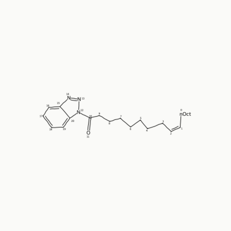 CCCCCCCC/C=C\CCCCCCCC(=O)n1nnc2ccccc21